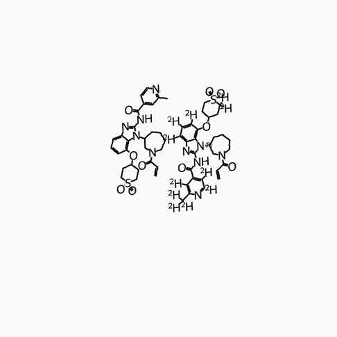 C=CC(=O)N1CCCCC(n2c(NC(=O)c3ccnc(C)c3)nc3cccc(OC4CCS(=O)(=O)CC4)c32)C1.[2H]c1nc(C([2H])([2H])[2H])c([2H])c(C(=O)Nc2nc3c([2H])c([2H])c([2H])c(OC4CCS(=O)(=O)C([2H])([2H])C4)c3n2[C@@H]2CCCCN(C(=O)C=C)C2)c1[2H]